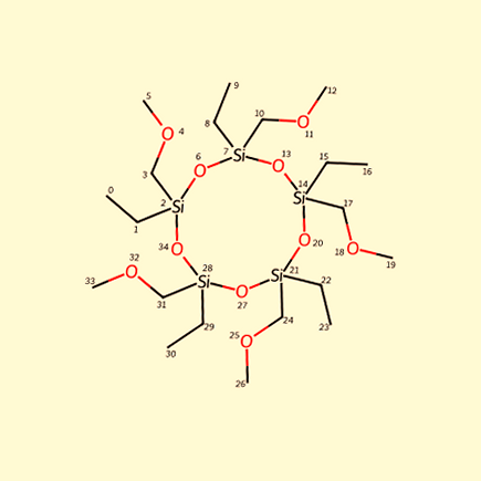 CC[Si]1(COC)O[Si](CC)(COC)O[Si](CC)(COC)O[Si](CC)(COC)O[Si](CC)(COC)O1